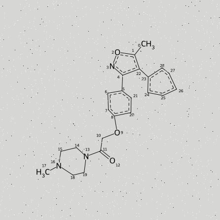 Cc1onc(-c2ccc(OCC(=O)N3CCN(C)CC3)cc2)c1-c1ccccc1